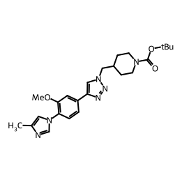 COc1cc(-c2cn(CC3CCN(C(=O)OC(C)(C)C)CC3)nn2)ccc1-n1cnc(C)c1